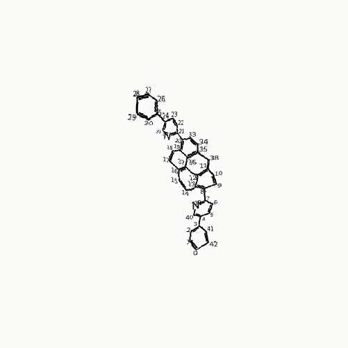 c1ccc(-c2ccc(-c3ccc4c5c3ccc3ccc6c(-c7ccc(-c8ccccc8)cn7)ccc(c6c35)C4)nc2)cc1